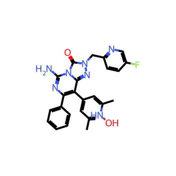 C=C(C)/C=C(\C=C(\C)NO)c1c(-c2ccccc2)nc(N)n2c(=O)n(Cc3ccc(F)cn3)nc12